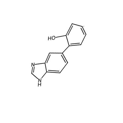 Oc1c[c]ccc1-c1ccc2[nH]cnc2c1